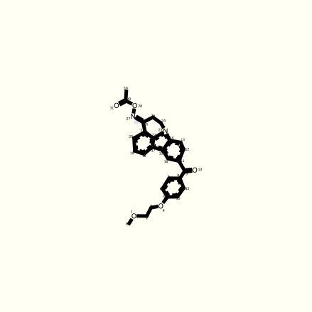 COCCOc1ccc(C(=O)c2ccc3c(c2)c2cccc4c2n3CC/C4=N\OC(C)=O)cc1